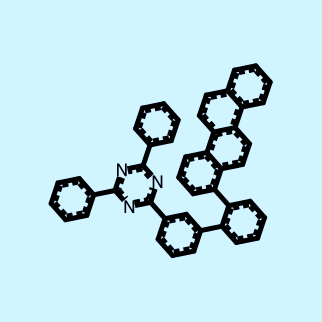 c1ccc(-c2nc(-c3ccccc3)nc(-c3cccc(-c4ccccc4-c4cccc5c4ccc4c6ccccc6ccc54)c3)n2)cc1